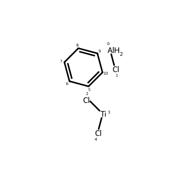 [AlH2][Cl].[Cl][Ti][Cl].c1ccccc1